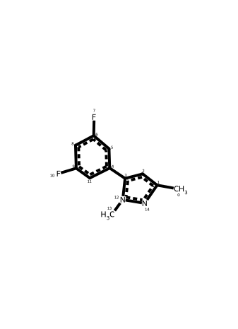 Cc1cc(-c2cc(F)cc(F)c2)n(C)n1